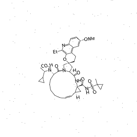 CCc1nc2ccc(OC)cc2c2c1O[C@]1(CC2)C[C@H]2C(=O)N[C@]3(C(=O)NS(=O)(=O)C4(C)CC4)C[C@H]3/C=C\CCCCC[C@H](N(C(=O)O)C(C)C3CC3)C(=O)N2C1